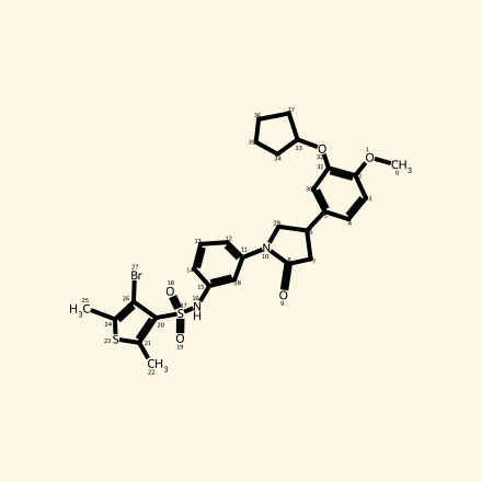 COc1ccc(C2CC(=O)N(c3cccc(NS(=O)(=O)c4c(C)sc(C)c4Br)c3)C2)cc1OC1CCCC1